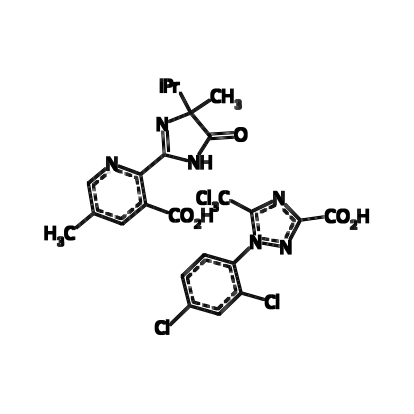 Cc1cnc(C2=NC(C)(C(C)C)C(=O)N2)c(C(=O)O)c1.O=C(O)c1nc(C(Cl)(Cl)Cl)n(-c2ccc(Cl)cc2Cl)n1